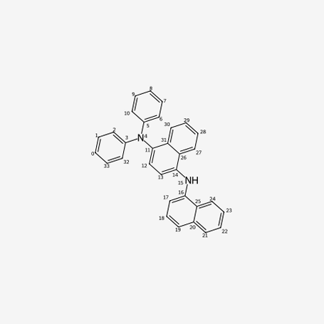 c1ccc(N(c2ccccc2)c2ccc(Nc3cccc4ccccc34)c3ccccc23)cc1